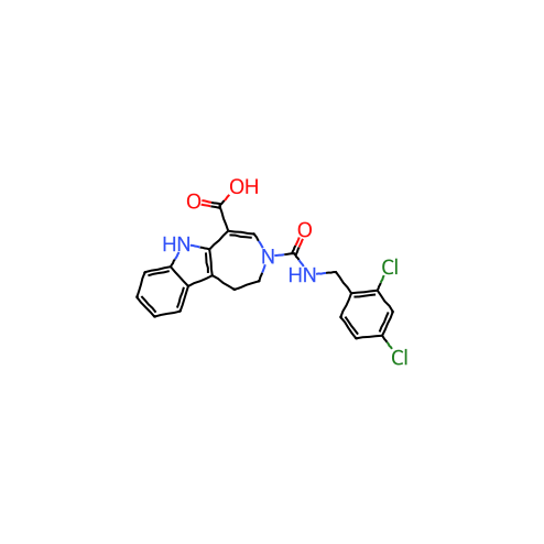 O=C(O)C1=CN(C(=O)NCc2ccc(Cl)cc2Cl)CCc2c1[nH]c1ccccc21